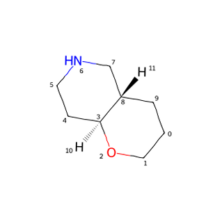 C1CO[C@H]2CCNC[C@@H]2C1